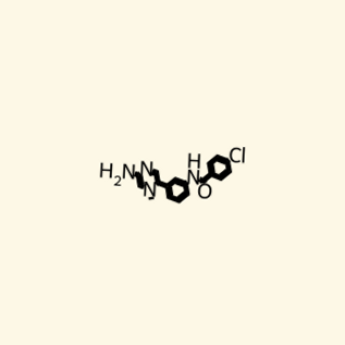 CN1C=C(N)N=CC1c1cccc(NC(=O)c2ccc(Cl)cc2)c1